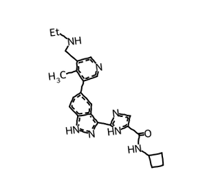 CCNCc1cncc(-c2ccc3[nH]nc(-c4ncc(C(=O)NC5CCC5)[nH]4)c3c2)c1C